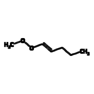 CCCC=COOC